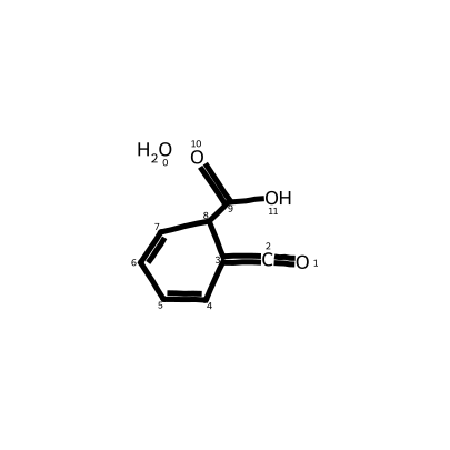 O.O=C=C1C=CC=CC1C(=O)O